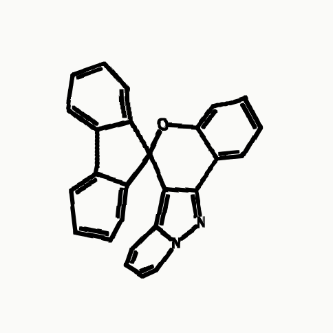 c1ccc2c(c1)OC1(c3ccccc3-c3ccccc31)c1c-2nn2ccccc12